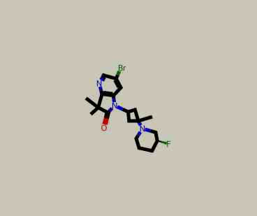 CC1(C)C(=O)N(C2CC(C)(N3CCC[C@H](F)C3)C2)c2cc(Br)cnc21